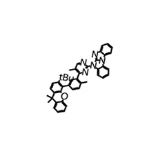 Cc1ccc(-c2c(C(C)(C)C)ccc3c2Oc2ccccc2C3(C)C)cc1-c1nc(-n2c3ccccc3n3c4ccccc4nc23)ncc1C